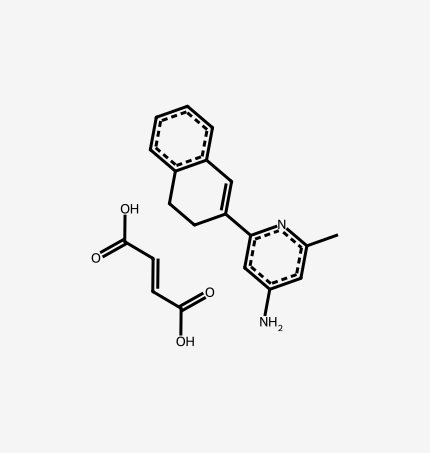 Cc1cc(N)cc(C2=Cc3ccccc3CC2)n1.O=C(O)/C=C/C(=O)O